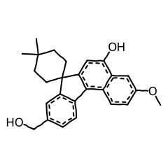 COc1ccc2c3c(cc(O)c2c1)C1(CCC(C)(C)CC1)c1cc(CO)ccc1-3